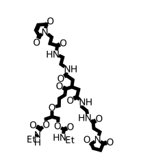 CCNC(=O)OCC(COC(=O)NCC)OCCCC(=O)C(CC(=O)NCCNC(=O)CCN1C(=O)C=CC1=O)CC(=O)NCCNC(=O)CCN1C(=O)CCC1=O